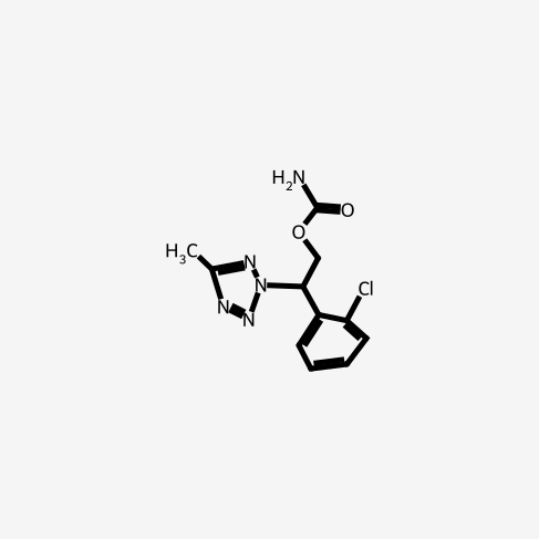 Cc1nnn(C(COC(N)=O)c2ccccc2Cl)n1